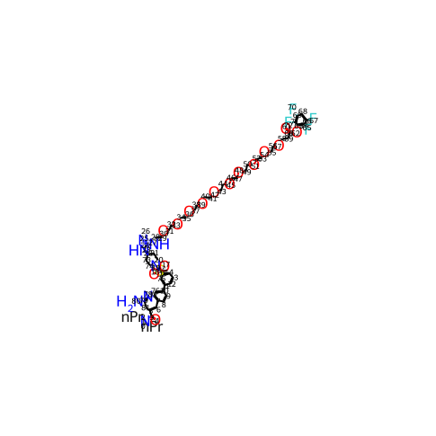 CCCN(CCC)C(=O)C1=Cc2ccc(-c3cccc(S(=O)(=O)N4CCC(N/C(=N/C)NCCOCCOCCOCCOCCOCCOCCOCCOCCOCCOCCC(=O)Oc5c(F)c(F)cc(F)c5F)CC4)c3)cc2N=C(N)C1